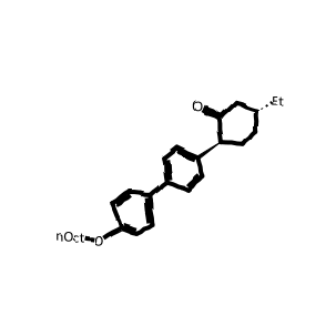 CCCCCCCCOc1ccc(-c2ccc([C@@H]3CC[C@@H](CC)CC3=O)cc2)cc1